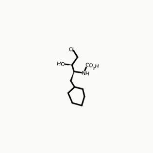 O=C(O)N[C@@H](CC1CCCCC1)[C@@H](O)CCl